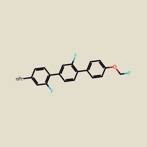 CCCc1ccc(-c2ccc(-c3ccc(OCF)cc3)c(F)c2)c(F)c1